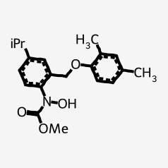 COC(=O)N(O)c1ccc(C(C)C)cc1COc1ccc(C)cc1C